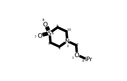 CC(C)OCN1CCS(=O)(=O)CC1